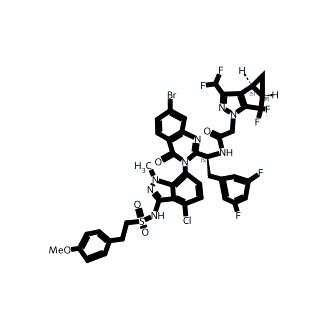 COc1ccc(CCS(=O)(=O)Nc2nn(C)c3c(-n4c([C@H](Cc5cc(F)cc(F)c5)NC(=O)Cn5nc(C(F)F)c6c5C(F)(F)[C@@H]5C[C@H]65)nc5cc(Br)ccc5c4=O)ccc(Cl)c23)cc1